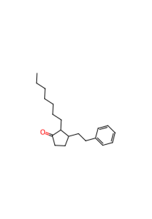 CCCCCCCC1C(=O)CCC1CCc1ccccc1